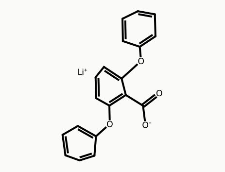 O=C([O-])c1c(Oc2ccccc2)cccc1Oc1ccccc1.[Li+]